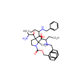 CC(N)C(=O)C1(C(=O)C(CCC(=O)O)NCc2ccccc2)CCN(C(=O)OCc2ccccc2)C1(C(=O)O)C(=O)C(CC(=O)O)NCc1ccccc1